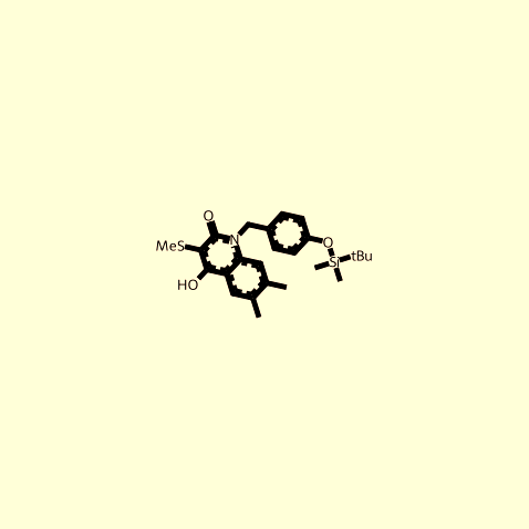 CSc1c(O)c2cc(C)c(C)cc2n(Cc2ccc(O[Si](C)(C)C(C)(C)C)cc2)c1=O